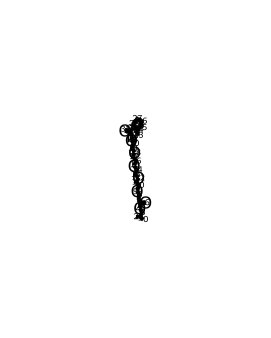 CC(C)COC(=O)CCOCCOCCOCCOCCON1Cc2ccccc2C1=O